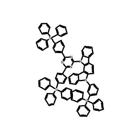 c1ccc([Si](c2ccccc2)(c2ccccc2)c2ccc(-c3nc(-c4ccc([Si](c5ccccc5)(c5ccccc5)c5ccccc5)cc4)nc(-n4c5ccccc5c5ccc6c(c7ccccc7n6-c6cccc([Si](c7ccccc7)(c7ccccc7)c7ccccc7)c6)c54)n3)cc2)cc1